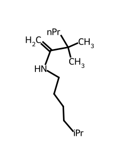 C=C(NCCCCC(C)C)C(C)(C)CCC